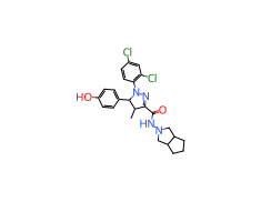 CC1C(C(=O)NN2CC3CCCC3C2)=NN(c2ccc(Cl)cc2Cl)C1c1ccc(O)cc1